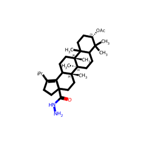 CC(=O)O[C@H]1CCC2(C)C(CC[C@@]3(C)[C@]4(C)CCC5(C(=O)NN)CCC(C(C)C)=C5C4CC[C@]23C)C1(C)C